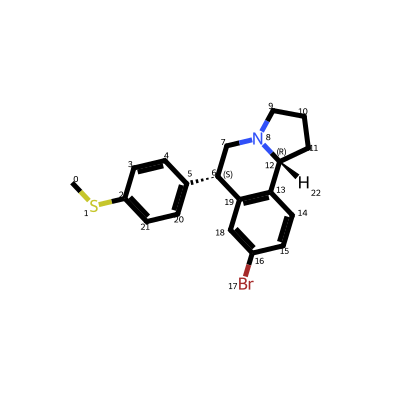 CSc1ccc([C@@H]2CN3CCC[C@@H]3c3ccc(Br)cc32)cc1